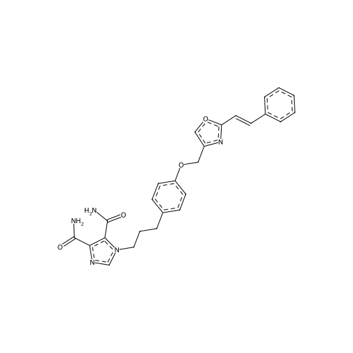 NC(=O)c1ncn(CCCc2ccc(OCc3coc(C=Cc4ccccc4)n3)cc2)c1C(N)=O